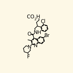 Cc1c(N2CCCC(F)C2)nc2ccc(Br)cc2c1C(=O)NCC(CCC(=O)O)c1ccccc1Cl